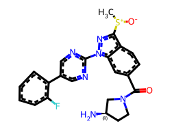 C[S+]([O-])c1nn(-c2ncc(-c3ccccc3F)cn2)c2cc(C(=O)N3CC[C@@H](N)C3)ccc12